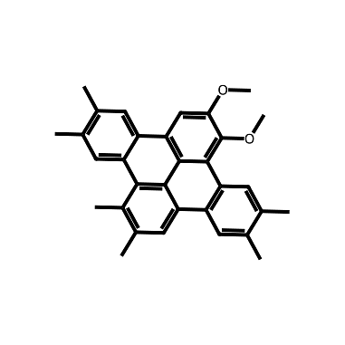 COc1cc2c3cc(C)c(C)cc3c3c(C)c(C)cc4c5cc(C)c(C)cc5c(c1OC)c2c43